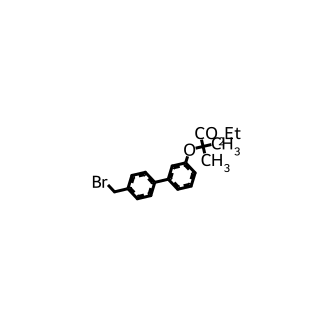 CCOC(=O)C(C)(C)Oc1cccc(-c2ccc(CBr)cc2)c1